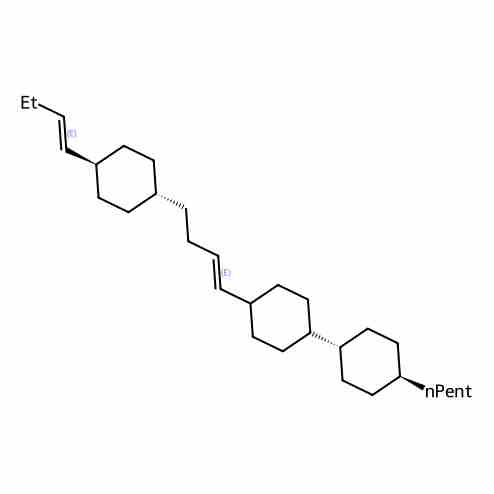 CC/C=C/[C@H]1CC[C@H](CC/C=C/C2CCC([C@H]3CC[C@H](CCCCC)CC3)CC2)CC1